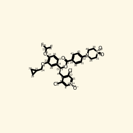 O=C(O[C@@H](Cc1c(Cl)c[n+]([O-])cc1Cl)c1ccc(OC(F)F)c(OCC2CC2)c1)c1ccc(N2CCS(=O)(=O)CC2)cc1